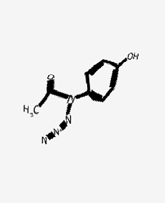 CC(=O)N(N=[N+]=[N-])c1ccc(O)cc1